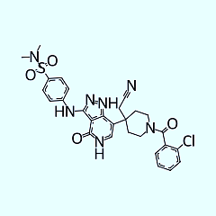 CN(C)S(=O)(=O)c1ccc(Nc2n[nH]c3c(C4(CC#N)CCN(C(=O)c5ccccc5Cl)CC4)c[nH]c(=O)c23)cc1